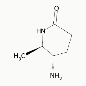 C[C@H]1NC(=O)CC[C@@H]1N